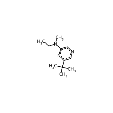 CCN(C)c1cncc(C(C)(C)C)n1